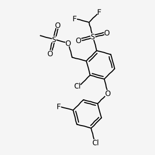 CS(=O)(=O)OCc1c(S(=O)(=O)C(F)F)ccc(Oc2cc(F)cc(Cl)c2)c1Cl